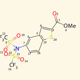 COC(=O)c1cc2cc(N(S(=O)(=O)C(F)(F)F)S(=O)(=O)C(F)(F)F)ccc2s1